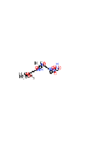 CN(C(=O)CCCCCNc1cccc2c1C(=O)N(C1CCC(=O)NC1=O)C2=O)c1ccc(NC(=O)CCCCCCC(=O)OC(C)(C)C)cc1